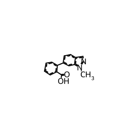 Cn1ncc2ccc(-c3ccccc3C(=O)O)cc21